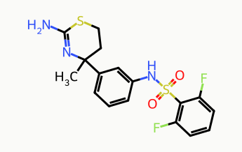 CC1(c2cccc(NS(=O)(=O)c3c(F)cccc3F)c2)CCSC(N)=N1